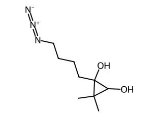 CC1(C)C(O)C1(O)CCCCN=[N+]=[N-]